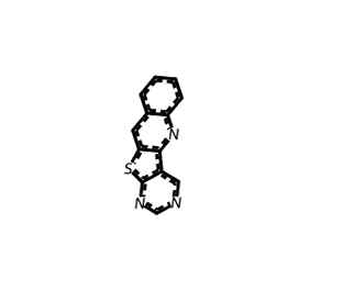 c1ccc2nc3c(cc2c1)sc1ncncc13